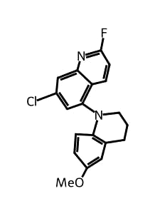 COc1ccc2c(c1)CCCN2c1cc(Cl)cc2nc(F)ccc12